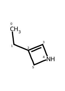 CCC1=CNC1